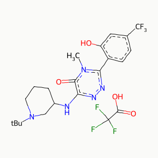 Cn1c(-c2ccc(C(F)(F)F)cc2O)nnc(NC2CCCN(C(C)(C)C)C2)c1=O.O=C(O)C(F)(F)F